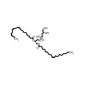 CC/C=C\C/C=C\C/C=C\CCCCCCCC(=O)O[C@H](COC(=O)CCCCCCC/C=C\CCCCCCCC)COP(=O)(O)OC[C@@H](O)CO